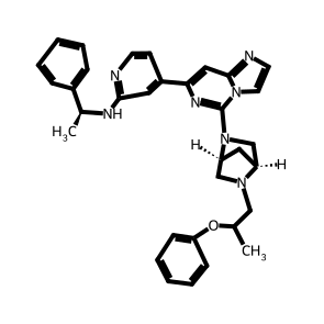 CC(CN1C[C@@H]2C[C@H]1CN2c1nc(-c2ccnc(N[C@@H](C)c3ccccc3)c2)cc2nccn12)Oc1ccccc1